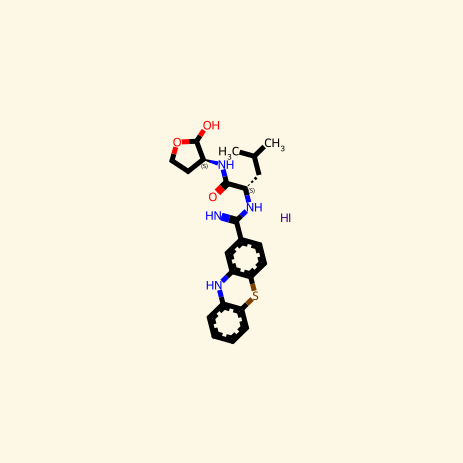 CC(C)C[C@H](NC(=N)c1ccc2c(c1)Nc1ccccc1S2)C(=O)N[C@H]1CCOC1O.I